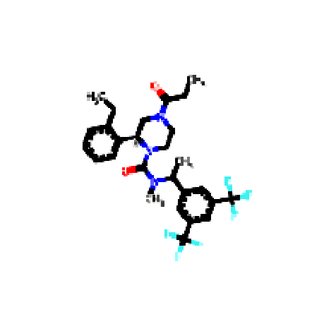 CCC(=O)N1CCN(C(=O)N(C)C(C)c2cc(C(F)(F)F)cc(C(F)(F)F)c2)[C@@H](c2ccccc2CC)C1